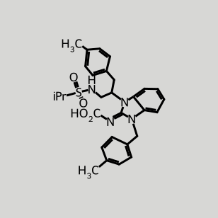 Cc1ccc(CC(CNS(=O)(=O)C(C)C)n2c(=NC(=O)O)n(Cc3ccc(C)cc3)c3ccccc32)cc1